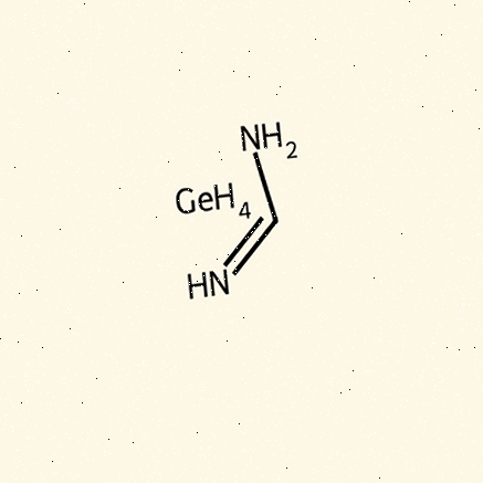 N=CN.[GeH4]